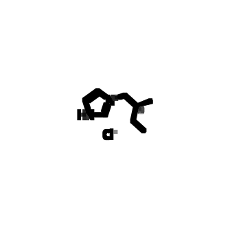 CC[C@H](C)C[n+]1cc[nH]c1.[Cl-]